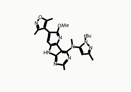 COc1nc2c(cc1-c1c(C)noc1C)[nH]c1nc(C)nc(N(C)c3cc(C)nn3C(C)(C)C)c12